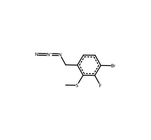 CSc1c(CN=[N+]=[N-])ccc(Br)c1F